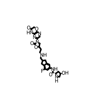 O=C1COc2ncc(N3CC(CCNCC4Cc5cc(NC(=O)[C@@H]6C[C@@H](O)CN6)cc(F)c5C4)OC3=O)nc2N1